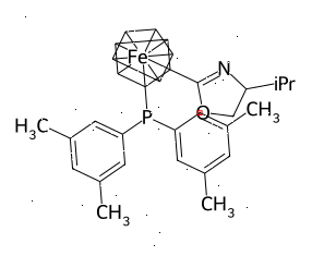 Cc1cc(C)cc(P(c2cc(C)cc(C)c2)[C]23[CH]4[CH]5[CH]6[C]2(C2=NC(C(C)C)CO2)[Fe]56432789[CH]3[CH]2[CH]7[CH]8[CH]39)c1